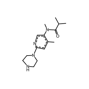 Cc1cc(N2CCNCC2)ncc1N(C)C(=O)C(C)C